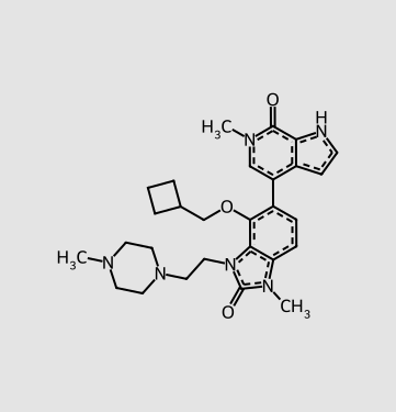 CN1CCN(CCn2c(=O)n(C)c3ccc(-c4cn(C)c(=O)c5[nH]ccc45)c(OCC4CCC4)c32)CC1